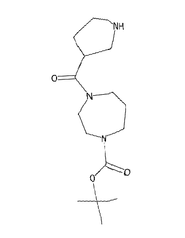 CC(C)(C)OC(=O)N1CCCN(C(=O)C2CCNC2)CC1